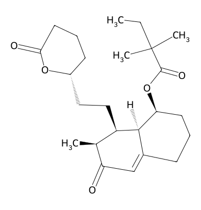 CCC(C)(C)C(=O)O[C@H]1CCCC2=CC(=O)[C@@H](C)[C@@H](CC[C@H]3CCCC(=O)O3)[C@H]21